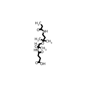 CCC(=O)NCCC(C)(C)OCC(C)(C)NC(=O)CCC(=O)O